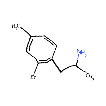 CCc1cc(C)ccc1CC(C)N